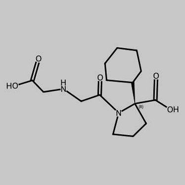 O=C(O)CNCC(=O)N1CCC[C@]1(C(=O)O)C1CCCCC1